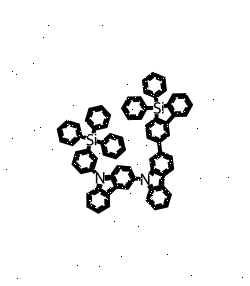 c1ccc([Si](c2ccccc2)(c2ccccc2)c2cccc(-n3c4ccccc4c4cc(-n5c6ccccc6c6ccc(-c7ccc8c(c7)-c7ccccc7[Si]8(c7ccccc7)c7ccccc7)cc65)ccc43)c2)cc1